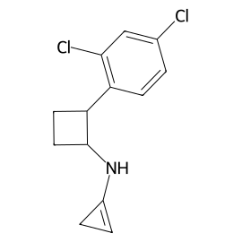 Clc1ccc(C2CCC2NC2=CC2)c(Cl)c1